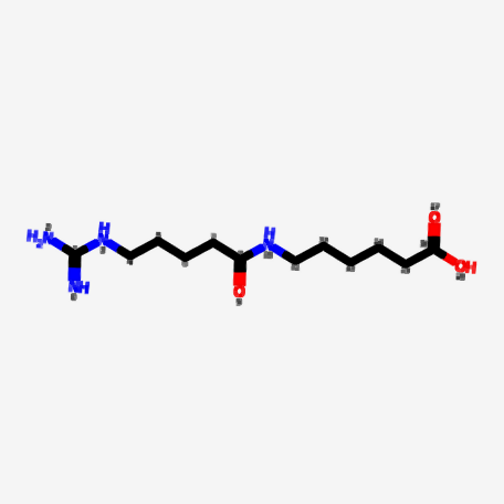 N=C(N)NCCCCC(=O)NCCCCCC(=O)O